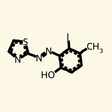 Cc1ccc(O)c(/N=N/c2nccs2)c1I